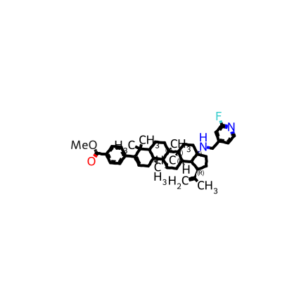 C=C(C)[C@@H]1CC[C@]2(NCc3ccnc(F)c3)CC[C@]3(C)[C@H](CCC4[C@@]5(C)CC=C(c6ccc(C(=O)OC)cc6)C(C)(C)C5CC[C@]43C)C12